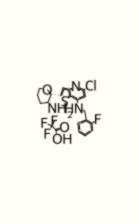 N[C@H]1CCCO[C@@H]1c1cc2nc(Cl)cc(NCc3ccccc3F)c2s1.O=C(O)C(F)(F)F